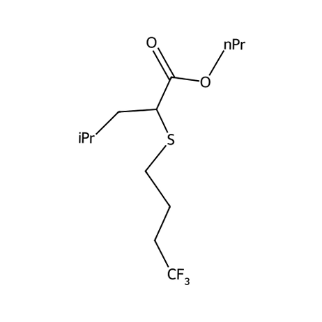 CCCOC(=O)C(CC(C)C)SCCCC(F)(F)F